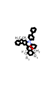 CC1(C)CCC(C)(C)c2cc(-c3cc4c(cc3N(c3ccccc3)c3ccc(-c5ccccc5)cc3)C(C)(C)c3ccccc3-4)ccc21